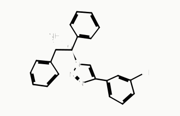 N[C@@H](c1ccccc1)[C@@H](c1ccccc1)n1cc(-c2cccc(Cl)c2)nn1